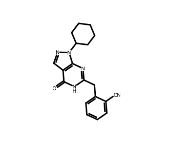 N#Cc1ccccc1Cc1nc2c(cnn2C2CCCCC2)c(=O)[nH]1